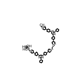 CC[n+]1ccc(-c2ccc(-c3cc(-c4ccc(-c5cc[n+](CCC[n+]6ccc(-c7ccc(-c8cc(-c9ccc(-c%10cc[n+](CC[Si](O)(O)O)cc%10)cc9)nc(-c9ccccc9)n8)cc7)cc6)cc5)cc4)nc(-c4ccccc4)n3)cc2)cc1